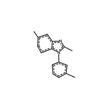 Cc1cccc(-n2c(C)nc3cc(C)ccc32)c1